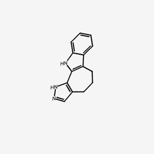 c1ccc2c3c([nH]c2c1)-c1[nH]ncc1CCC3